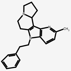 Cc1ccc2c(n1)c1c(n2CCc2ccccc2)CCN2CCCC12